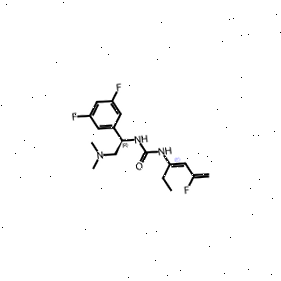 C=C(F)/C=C(\CC)NC(=O)N[C@@H](CN(C)C)c1cc(F)cc(F)c1